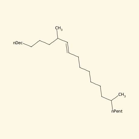 [CH2]CCCCCCCCCCCCC(C)/C=C/CCCCCCC(C)CCCC[CH2]